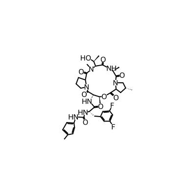 Cc1ccc(NC(=O)N[C@@H](Cc2cc(F)cc(F)c2)C(=O)N[C@@H]2C(=O)N3CCCC3C(=O)N(C)[C@@H]([C@H](C)O)C(=O)N[C@@H](C)C(=O)N3C[C@H](C)CC3C(=O)O[C@H]2C)cc1